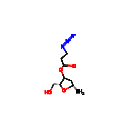 B[C@H]1CC(OC(=O)CCN=[N+]=[N-])[C@@H](CO)O1